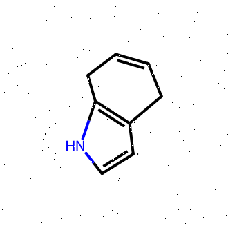 [c]1c[nH]c2c1CC=CC2